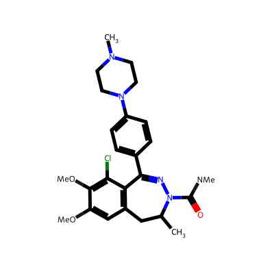 CNC(=O)N1N=C(c2ccc(N3CCN(C)CC3)cc2)c2c(cc(OC)c(OC)c2Cl)CC1C